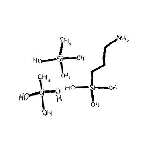 C[Si](C)(O)O.C[Si](O)(O)O.NCCC[Si](O)(O)O